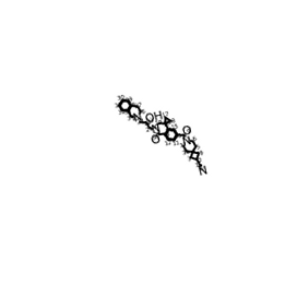 N#CC1CC2(CCN(C(=O)c3ccc4c(c3)C3(CC3)CN(CC(O)CN3CCc5ccccc5C3)C4=O)CC2)C1